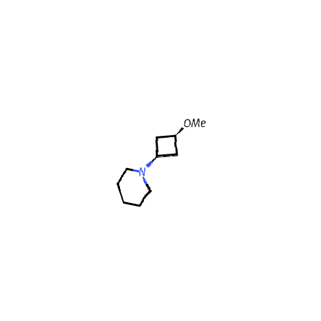 CO[C@H]1C[C@@H](N2CCCCC2)C1